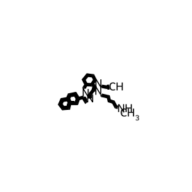 C#Cc1ncc(-c2ncc(-c3ccc4ccccc4c3)n2CC2CCCCC2)n1CCCCCNC